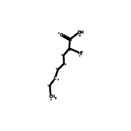 CCCCCC[CH]([Hf])C(=O)O